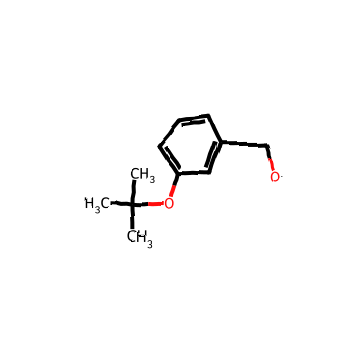 CC(C)(C)Oc1cccc(C[O])c1